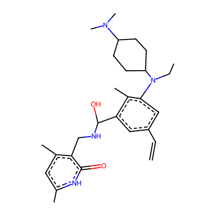 C=Cc1cc(C(O)NCc2c(C)cc(C)[nH]c2=O)c(C)c(N(CC)C2CCC(N(C)C)CC2)c1